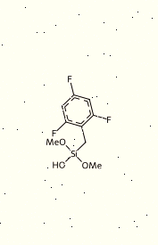 CO[Si](O)(Cc1c(F)cc(F)cc1F)OC